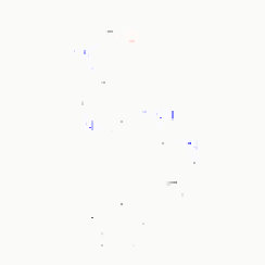 O=C1CCCN1c1cncc(Nc2cc(-c3ccccc3)c(Cl)cn2)c1